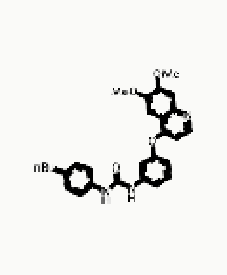 CCCCc1ccc(NC(=O)Nc2cccc(Oc3ccnc4cc(OC)c(OC)cc34)c2)cc1